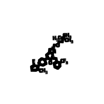 Cc1cccc(F)c1N1CCC(N2Cc3cn(COCC[Si](C)(C)C)nc3N(Cc3ccccc3C(F)(F)F)C2=O)CC1